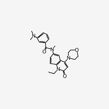 CCn1c(=O)cc(N2CCOCC2)c2cc(N(C)C(=O)c3cccc(N(C)C)c3)ccc21